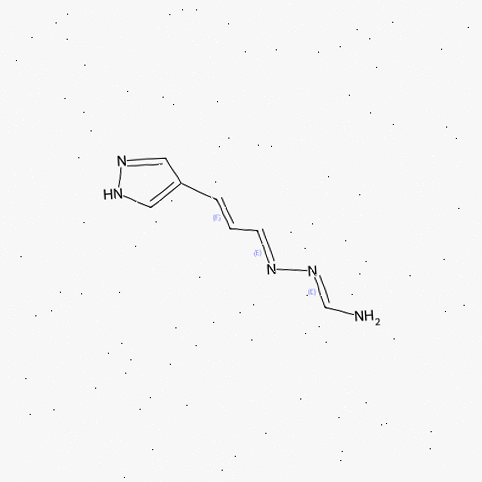 N/C=N/N=C/C=C/c1cn[nH]c1